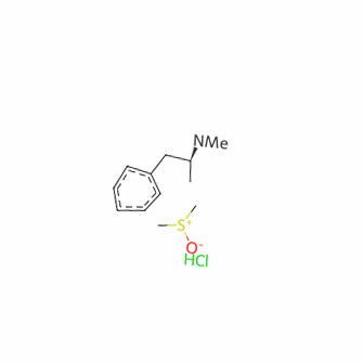 CN[C@@H](C)Cc1ccccc1.C[S+](C)[O-].Cl